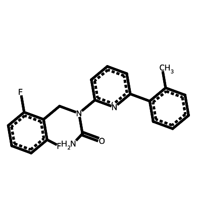 Cc1ccccc1-c1cccc(N(Cc2c(F)cccc2F)C(N)=O)n1